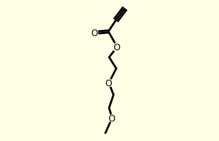 C#CC(=O)OCCOCCOC